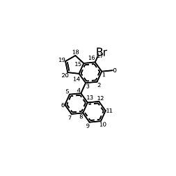 Cc1cc(-c2cccc3ccccc23)c2c(c1Br)CC=C2